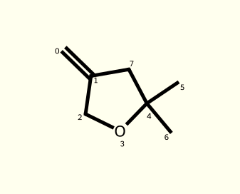 C=C1COC(C)(C)C1